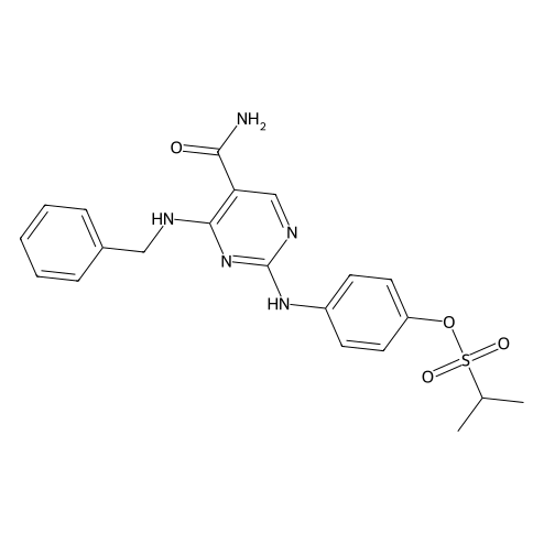 CC(C)S(=O)(=O)Oc1ccc(Nc2ncc(C(N)=O)c(NCc3ccccc3)n2)cc1